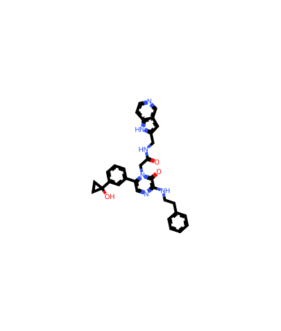 O=C(Cn1c(-c2cccc(C3(O)CC3)c2)cnc(NCCc2ccccc2)c1=O)NCc1cc2cnccc2[nH]1